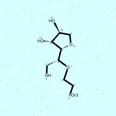 CCCCCCCCCCO[C@H](CO)[C@H]1OC[C@H](O)[C@H]1O